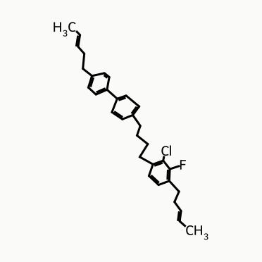 C/C=C/CCc1ccc(-c2ccc(CCCCc3ccc(CC/C=C/C)c(F)c3Cl)cc2)cc1